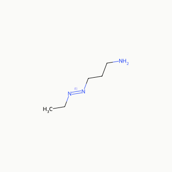 CC/N=N/CCCN